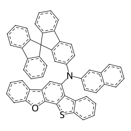 c1ccc2c(c1)-c1ccccc1C21c2ccccc2-c2ccc(N(c3ccc4ccccc4c3)c3cc4c5ccccc5oc4c4sc5ccccc5c34)cc21